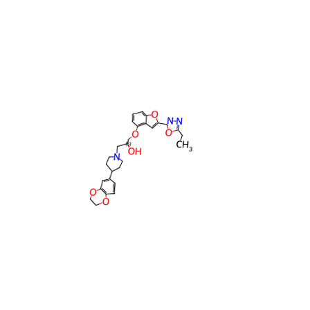 CCc1nnc(-c2cc3c(OC[C@@H](O)CN4CCC(c5ccc6c(c5)OCCO6)CC4)cccc3o2)o1